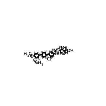 COc1ccc(-c2ccc(-c3nc4nc(O[C@@H]5CO[C@H]6[C@@H]5OC[C@H]6O)[nH]c4cc3Cl)cc2)cc1OC